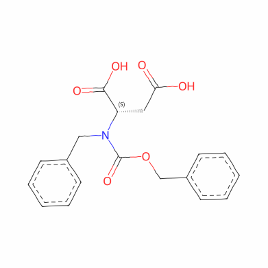 O=C(O)C[C@@H](C(=O)O)N(Cc1ccccc1)C(=O)OCc1ccccc1